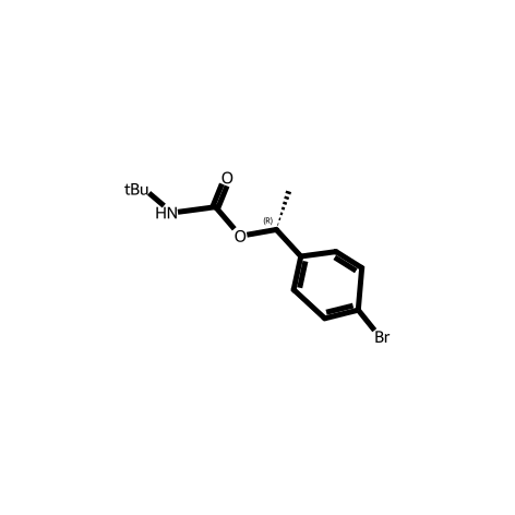 C[C@@H](OC(=O)NC(C)(C)C)c1ccc(Br)cc1